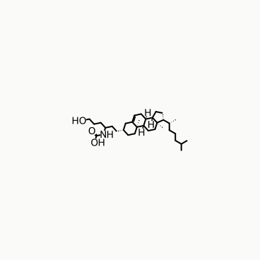 CC(C)CCC[C@@H](C)[C@H]1CC[C@H]2[C@@H]3CC=C4C[C@@H](CCC(CCCO)NC(=O)O)CC[C@]4(C)[C@H]3CC[C@]12C